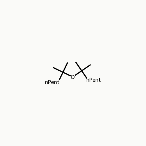 CCCCCC(C)(C)OC(C)(C)CCCCC